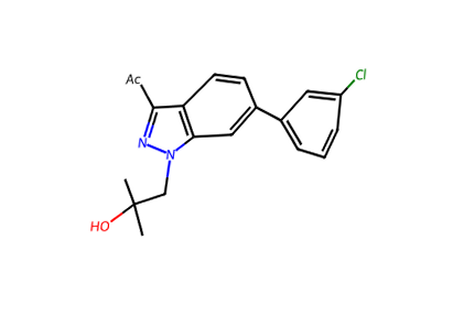 CC(=O)c1nn(CC(C)(C)O)c2cc(-c3cccc(Cl)c3)ccc12